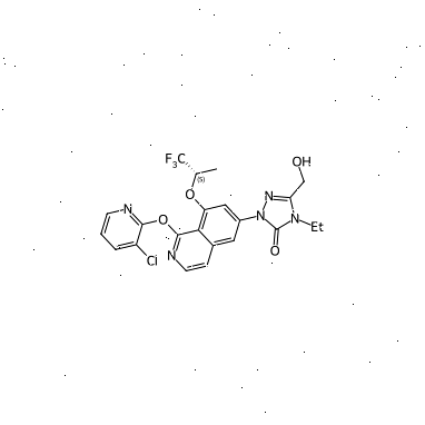 CCn1c(CO)nn(-c2cc(O[C@@H](C)C(F)(F)F)c3c(Oc4ncccc4Cl)nccc3c2)c1=O